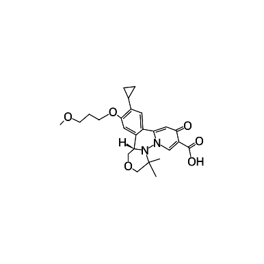 COCCCOc1cc2c(cc1C1CC1)-c1cc(=O)c(C(=O)O)cn1N1[C@@H]2COCC1(C)C